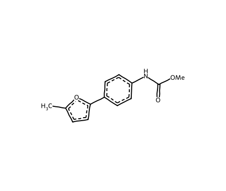 COC(=O)Nc1ccc(-c2ccc(C)o2)cc1